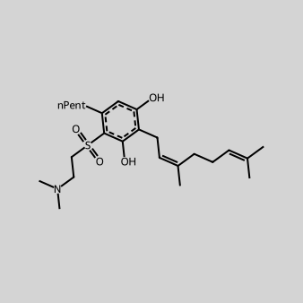 CCCCCc1cc(O)c(CC=C(C)CCC=C(C)C)c(O)c1S(=O)(=O)CCN(C)C